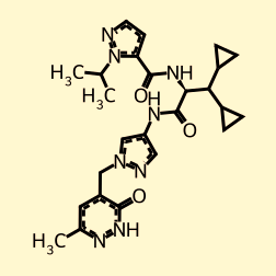 Cc1cc(Cn2cc(NC(=O)[C@@H](NC(=O)c3ccnn3C(C)C)C(C3CC3)C3CC3)cn2)c(=O)[nH]n1